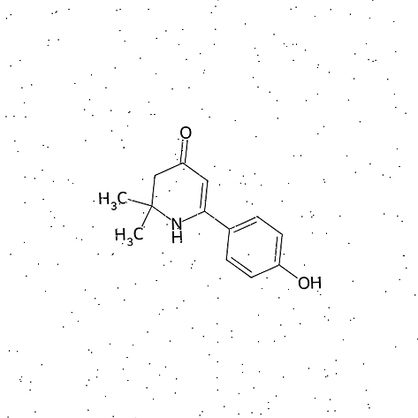 CC1(C)CC(=O)C=C(c2ccc(O)cc2)N1